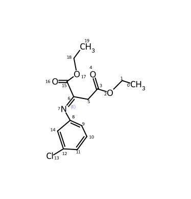 CCOC(=O)C/C(=N\c1cccc(Cl)c1)C(=O)OCC